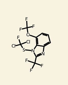 FC(F)(F)Oc1cccc2nc(C(F)(F)F)n(SC(F)(Cl)Cl)c12